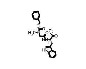 CN(CC(=O)N[C@@H](Cc1c[nH]c2ccccc12)C(N)=O)C(=O)OCc1ccccc1